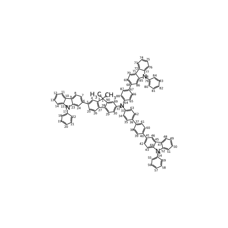 CC1(C)c2cc(-c3ccc4c5ccccc5n(-c5ccccc5)c4c3)ccc2-c2ccc(N(c3ccc(-c4ccc(-c5ccc6c(c5)c5ccccc5n6-c5ccccc5)cc4)cc3)c3ccc(-c4ccc5c6ccccc6n(-c6ccccc6)c5c4)cc3)cc21